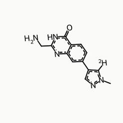 [2H]c1c(-c2ccc3c(=O)[nH]c(CN)nc3c2)cnn1C